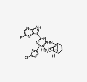 O=C(O)[C@@H]1C2CCC(CC2)[C@H]1Nc1nc(-c2c[nH]c3ncc(F)nc23)nc(-c2ccc(Cl)s2)c1F